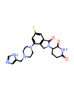 O=C1CCC(N2Cc3c(cc(F)cc3N3CCN(Cc4cnc[nH]4)CC3)C2=O)C(=O)N1